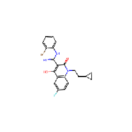 N=C(Nc1ccccc1Br)c1c(O)c2cc(F)ccc2n(CCC2CC2)c1=O